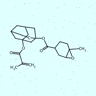 C=C(C)C(=O)OC12CC3CC(C1)CC(OC(=O)C1CCC4(C)OC4C1)(C3)C2